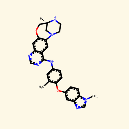 Cc1cc(Nc2ncnc3cc4c(cc23)N2CCN[C@H](CO4)C2)ccc1Oc1ccc2c(c1)ncn2C